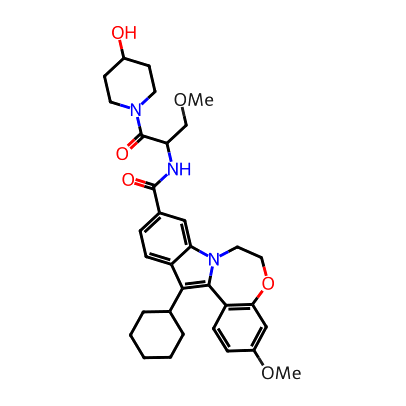 COCC(NC(=O)c1ccc2c(C3CCCCC3)c3n(c2c1)CCOc1cc(OC)ccc1-3)C(=O)N1CCC(O)CC1